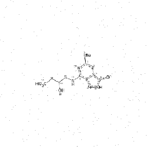 CC(C)(C)c1cn2c(=O)[nH]nc2c(NCC(O)CC(=O)O)n1